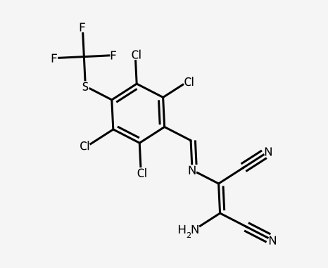 N#C/C(N)=C(C#N)/N=C/c1c(Cl)c(Cl)c(SC(F)(F)F)c(Cl)c1Cl